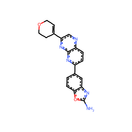 Nc1nc2cc(-c3ccc4ncc(C5=CCOCC5)nc4n3)ccc2o1